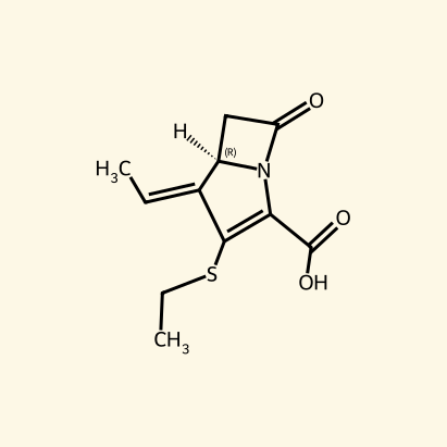 CC=C1C(SCC)=C(C(=O)O)N2C(=O)C[C@H]12